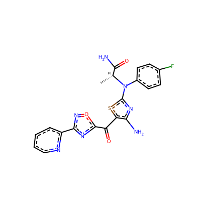 C[C@H](C(N)=O)N(c1ccc(F)cc1)c1nc(N)c(C(=O)c2nc(-c3ccccn3)no2)s1